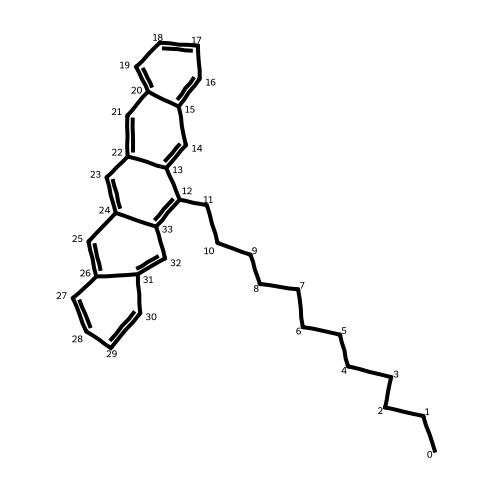 CCCCCCCCCCCCc1c2cc3ccccc3cc2cc2cc3ccccc3cc12